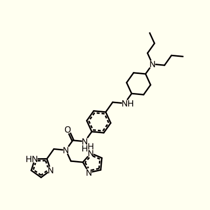 CCCN(CCC)C1CCC(NCc2ccc(NC(=O)N(Cc3ncc[nH]3)Cc3ncc[nH]3)cc2)CC1